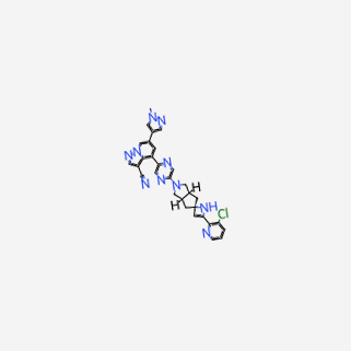 Cn1cc(-c2cc(-c3cnc(N4C[C@@H]5C[C@@]6(C=C(c7ncccc7Cl)N6)C[C@@H]5C4)cn3)c3c(C#N)cnn3c2)cn1